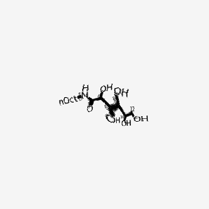 CCCCCCCCNC(=O)C(O)C(O)C(O)C(O)CO